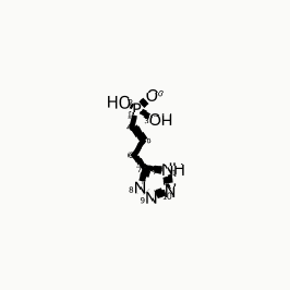 O=P(O)(O)C=CCc1nnn[nH]1